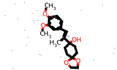 COc1ccc(/C=C(\C)C2(O)CCC3(CC2)OCCO3)cc1OC